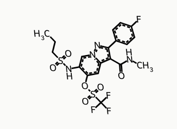 CCCS(=O)(=O)Nc1cn2nc(-c3ccc(F)cc3)c(C(=O)NC)c2cc1OS(=O)(=O)C(F)(F)F